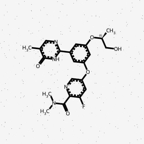 Cc1cnc(-c2cc(Oc3cnc(C(=O)N(C)C)c(F)c3)cc(O[C@@H](C)CO)c2)[nH]c1=O